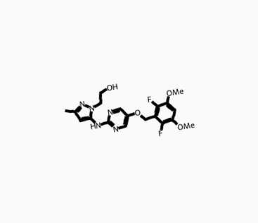 COc1cc(OC)c(F)c(COc2cnc(Nc3cc(C)nn3CCO)nc2)c1F